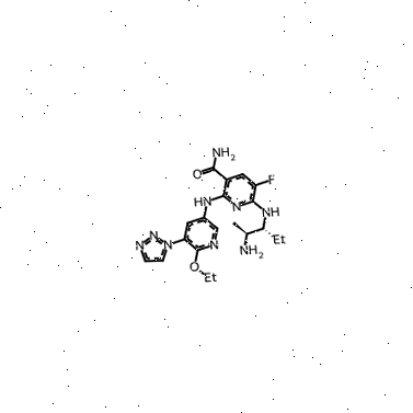 CCOc1ncc(Nc2nc(N[C@H](CC)[C@H](C)N)c(F)cc2C(N)=O)cc1-n1ccnn1